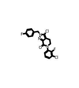 O=C1c2nn(Cc3ccc(F)cc3)c(Cl)c2CCN1c1cccc(Cl)c1F